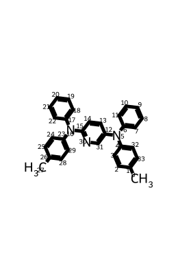 Cc1ccc(N(c2ccccc2)c2ccc(N(c3ccccc3)c3ccc(C)cc3)nc2)cc1